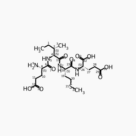 CC[C@H](C)[C@H](NC(=O)[C@@H](N)CCC(=O)O)C(=O)N[C@@H](CCSC)C(=O)N[C@@H](CCC(=O)O)C(=O)O